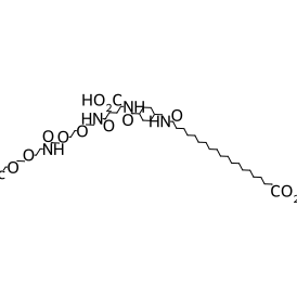 CC(=O)COCCOCCNC(=O)COCCOCCNC(=O)CCC(NC(=O)C1CCC(CNC(=O)CCCCCCCCCCCCCCCCCCC(=O)O)CC1)C(=O)O